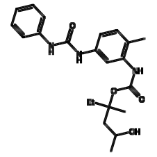 CCC(C)(CC(C)O)OC(=O)Nc1cc(NC(=O)Nc2ccccc2)ccc1C